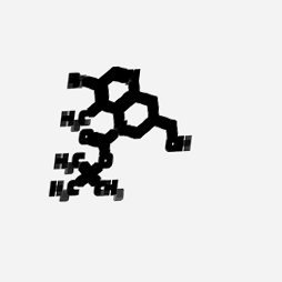 Cc1c(Br)cnc2c1N(C(=O)OC(C)(C)C)CC(CO)C2